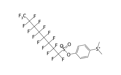 C[S+](C)c1ccc(OS(=O)(=O)C(F)(F)C(F)(F)C(F)(F)C(F)(F)C(F)(F)C(F)(F)C(F)(F)C(F)(F)F)cc1